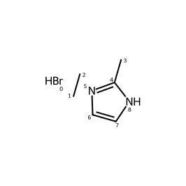 Br.CC.Cc1ncc[nH]1